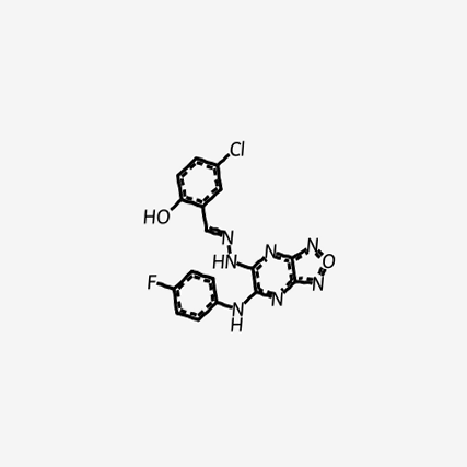 Oc1ccc(Cl)cc1C=NNc1nc2nonc2nc1Nc1ccc(F)cc1